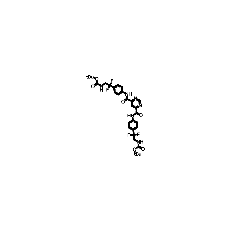 CC(C)(C)OC(=O)NCC(F)(F)c1ccc(NC(=O)c2cc(C(=O)Nc3ccc(C(F)(F)CNC(=O)OC(C)(C)C)cc3)ncn2)cc1